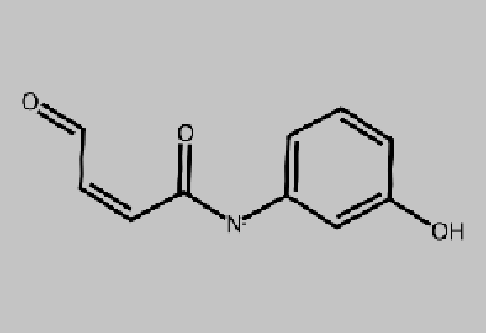 O=C/C=C\C(=O)[N]c1cccc(O)c1